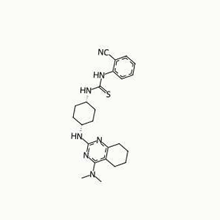 CN(C)c1nc(N[C@H]2CC[C@@H](NC(=S)Nc3ccccc3C#N)CC2)nc2c1CCCC2